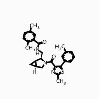 Cc1cccc(-c2sc(C)nc2C(=O)N2C[C@H]3CC3[C@H]2CNC(=O)c2cc(C)ccc2C)c1